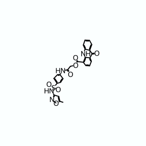 Cc1cc(NS(=O)(=O)c2ccc(NC(=O)COC(=O)c3cccc4c(=O)c5ccccc5[nH]c34)cc2)no1